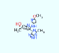 COc1ccc(Nc2ncc(CC(C)(C)CO)cc2-c2nc(C)nc3[nH]cnc23)cn1